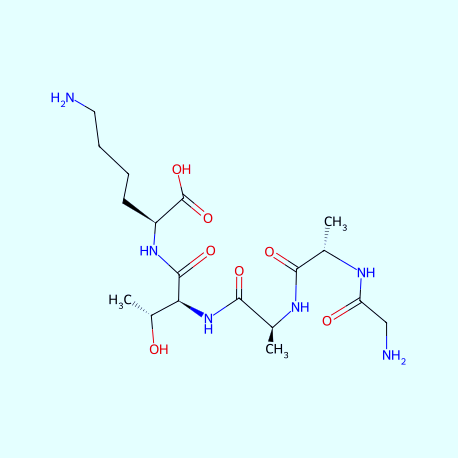 C[C@H](NC(=O)CN)C(=O)N[C@@H](C)C(=O)N[C@H](C(=O)N[C@@H](CCCCN)C(=O)O)[C@@H](C)O